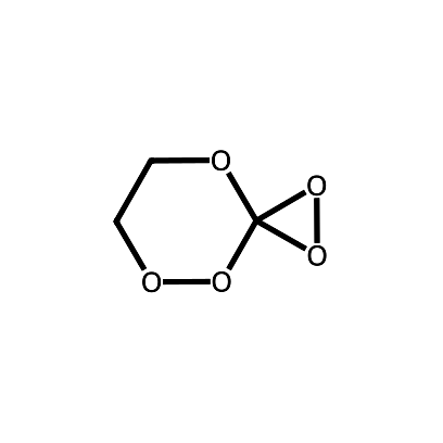 C1COC2(OO1)OO2